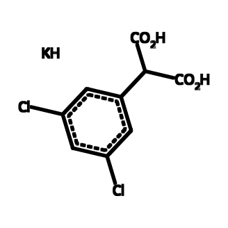 O=C(O)C(C(=O)O)c1cc(Cl)cc(Cl)c1.[KH]